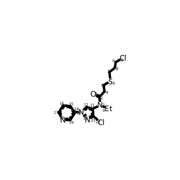 CCN(C(=O)CCSCCCCl)c1cn(-c2cccnc2)nc1Cl